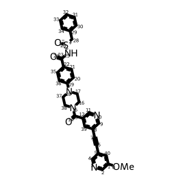 COc1cncc(C#Cc2cncc(C(=O)N3CCN(c4ccc(C(=O)N[S+]([O-])Cc5ccccc5)cc4)CC3)c2)c1